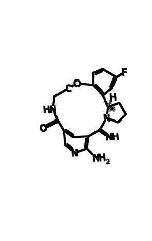 N=C1c2cc(cnc2N)C(=O)NCCOc2ccc(F)cc2[C@H]2CCCN12